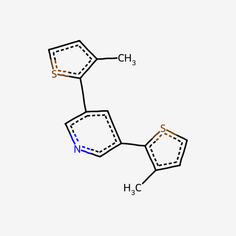 Cc1ccsc1-c1cncc(-c2sccc2C)c1